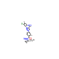 Cc1cc(NC(C)c2cn(-c3ccc(C(=O)NC4(C(=O)O)CC4)c(C)c3)nn2)ccc1F